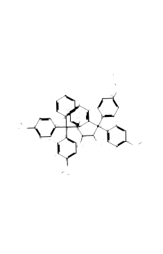 COc1ccc(C(c2ccccc2)(c2ccc(OC)cc2)C(O)C(O)C(O)C(c2ccccc2)(c2ccc(OC)cc2)c2ccc(OC)cc2)cc1